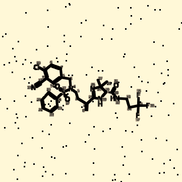 C=C(CCN(Cc1ccc(Cl)c(C#N)c1)S(=O)(=O)c1ccccc1)C1=NC(C)(C)[C@H](C(=O)NCCC(F)(F)F)N1